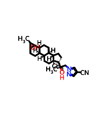 CC1C2[C@@H]3CC[C@@H]4[C@H](CC[C@@]5(C)[C@H]4CC[C@@H]5[C@@](C)(O)Cn4cc(C#N)cn4)[C@H]3CC[C@]12O